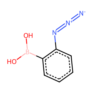 [N-]=[N+]=Nc1ccccc1B(O)O